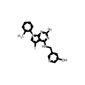 [2H]c1nc(NCc2cncc(O)c2)c2c(I)cn(-c3ccccc3C)c2n1